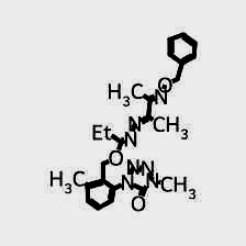 CC\C(=N/N=C(C)/C(C)=N/OCc1ccccc1)OCc1c(C)cccc1-n1nnn(C)c1=O